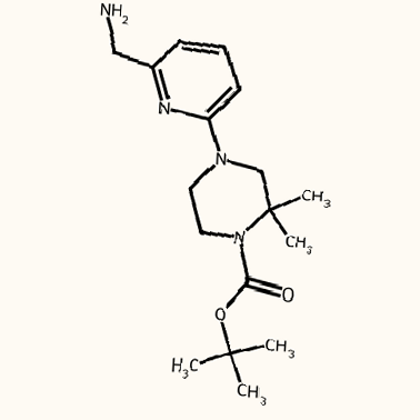 CC(C)(C)OC(=O)N1CCN(c2cccc(CN)n2)CC1(C)C